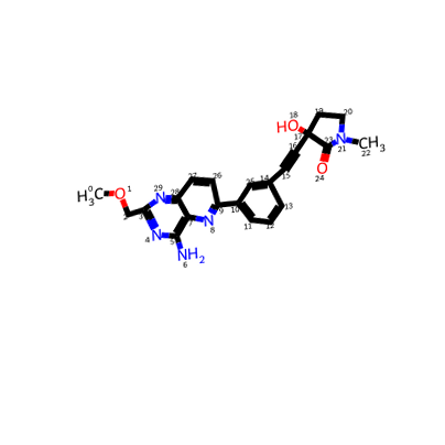 COCc1nc(N)c2nc(-c3cccc(C#CC4(O)CCN(C)C4=O)c3)ccc2n1